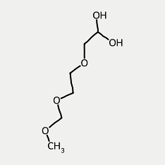 COCOCCOCC(O)O